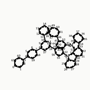 c1ccc(-c2ccc(-c3cc(-c4ccccc4)nc(-c4ccc(-n5c6ccccc6c6ccc7c8ccccc8n(-c8cccc(-c9ccccc9)c8)c7c65)cc4)c3)cc2)cc1